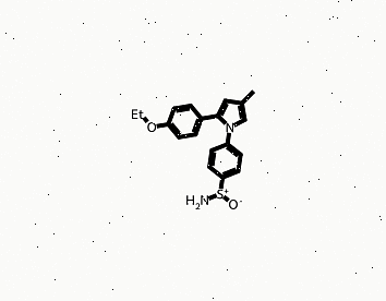 CCOc1ccc(-c2cc(C)cn2-c2ccc([S+](N)[O-])cc2)cc1